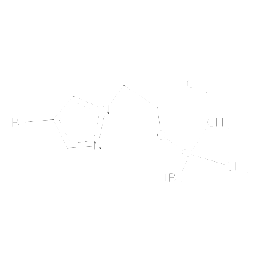 [CH2][C@@H](Cn1cc(Br)cn1)O[Si](C)(C)C(C)(C)C